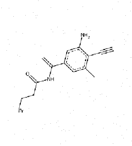 C#Cc1c(C)cc(C(=C)NC(=O)CCC(C)C)cc1N